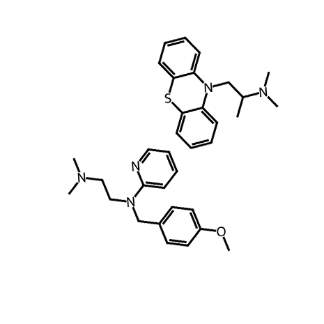 CC(CN1c2ccccc2Sc2ccccc21)N(C)C.COc1ccc(CN(CCN(C)C)c2ccccn2)cc1